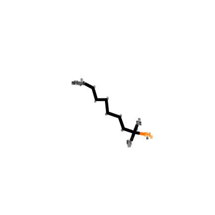 CCCCCCCCCCCCCC(P)(CC)CC